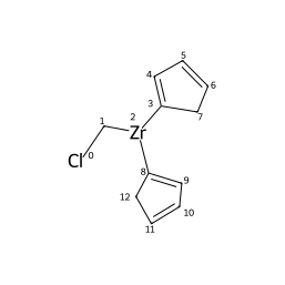 Cl[CH2][Zr]([C]1=CC=CC1)[C]1=CC=CC1